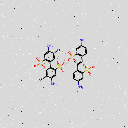 Cc1cc(-c2cc(C)c(N)cc2S(=O)(=O)O)c(S(=O)(=O)O)cc1N.Nc1ccc(C=Cc2ccc(N)cc2S(=O)(=O)O)c(S(=O)(=O)O)c1